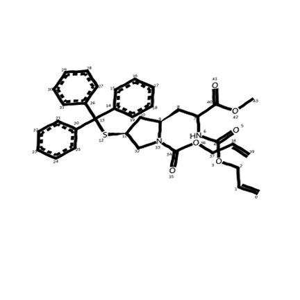 C=CCOC(=O)NC(C[C@@H]1C[C@H](SC(c2ccccc2)(c2ccccc2)c2ccccc2)CN1C(=O)OCC=C)C(=O)OC